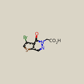 O=C(O)Cn1ncc2scc(Br)c2c1=O